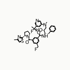 Cc1csc([C@H]2CCCN2C(=O)c2cc(CF)cc(C(=O)N[C@@H](Cc3ccccc3)[C@H](O)CN(C)c3cncc(C(C)(C)F)c3)c2)n1